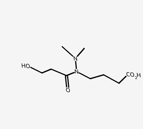 CN(C)N(CCCC(=O)O)C(=O)CCO